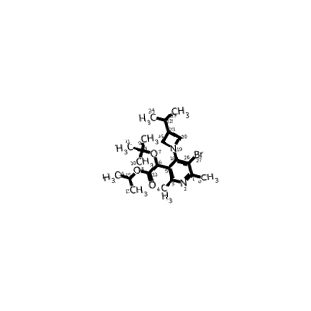 Cc1nc(C)c(C(OC(C)(C)C)C(=O)OC(C)C)c(N2CC(C(C)C)C2)c1Br